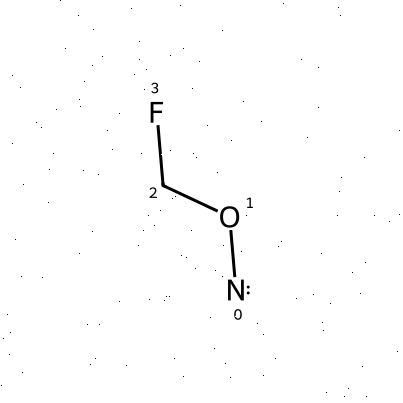 [N]OCF